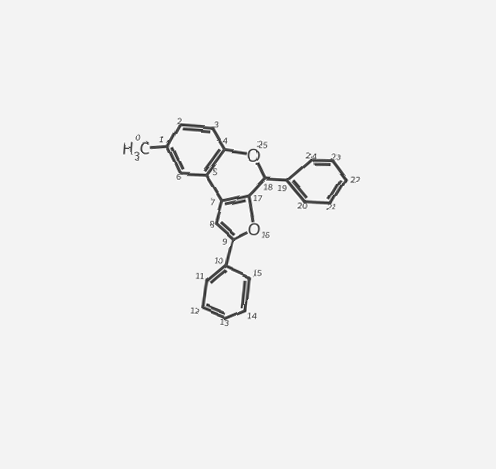 Cc1ccc2c(c1)-c1cc(-c3ccccc3)oc1C(c1ccccc1)O2